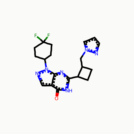 O=c1[nH]c(C2CCC2Cn2cccn2)nc2c1cnn2C1CCC(F)(F)CC1